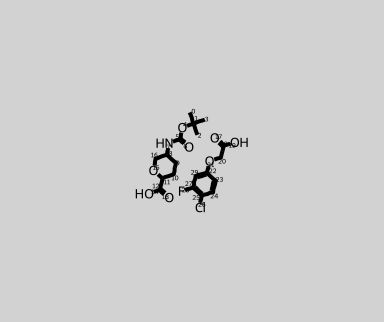 CC(C)(C)OC(=O)NC1CCC(C(=O)O)OC1.O=C(O)COc1ccc(Cl)c(F)c1